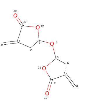 C=C1CC(OC2CC(=C)C(=O)O2)OC1=O